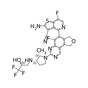 C[C@H]1[C@@H](NC[C@H](O)C(F)(F)F)CCN1c1ncc2c3c(c(-c4ncc(F)c5sc(N)c(C#N)c45)c(F)c2n1)COC3